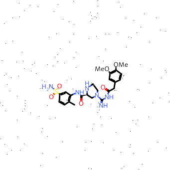 COc1ccc(CC(=O)NC(=N)N2CCN[C@H](C(=O)Nc3cc(S(N)(=O)=O)ccc3C)C2)cc1OC